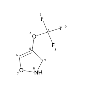 FC(F)(F)OC1=CON[C]1